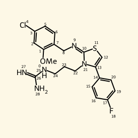 COc1cc(Cl)ccc1CN=c1scc(-c2ccc(F)cc2)n1CCCNC(=N)N